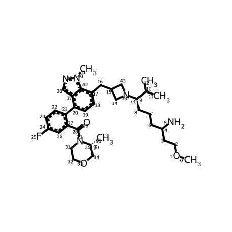 COCCC(N)CCC[C@H](C(C)C)N1CC(Cc2ccc(-c3ccc(F)cc3C(=O)N3CCOC[C@H]3C)c3cnn(C)c23)C1